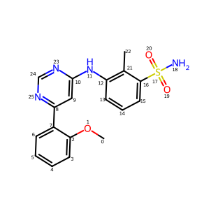 COc1ccccc1-c1cc(Nc2cccc(S(N)(=O)=O)c2C)ncn1